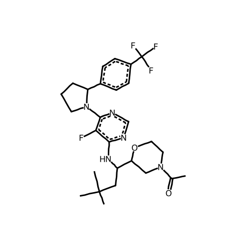 CC(=O)N1CCOC(C(CC(C)(C)C)Nc2ncnc(N3CCCC3c3ccc(C(F)(F)F)cc3)c2F)C1